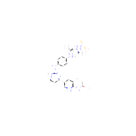 Cc1cc(Nc2nccc(-c3cnc4c(c3)CCC(=O)N4)n2)ccc1N1C[C@@H]2C[C@H]1CN2S(C)(=O)=O